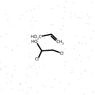 C=CC(=O)O.OC(Cl)CCl